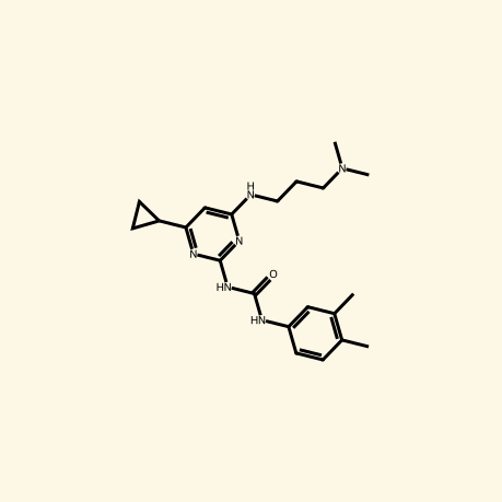 Cc1ccc(NC(=O)Nc2nc(NCCCN(C)C)cc(C3CC3)n2)cc1C